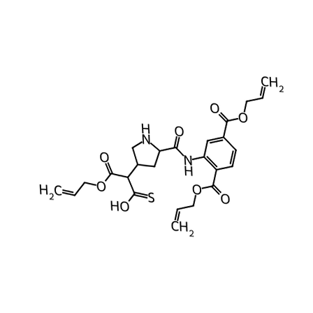 C=CCOC(=O)c1ccc(C(=O)OCC=C)c(NC(=O)C2CC(C(C(=O)OCC=C)C(O)=S)CN2)c1